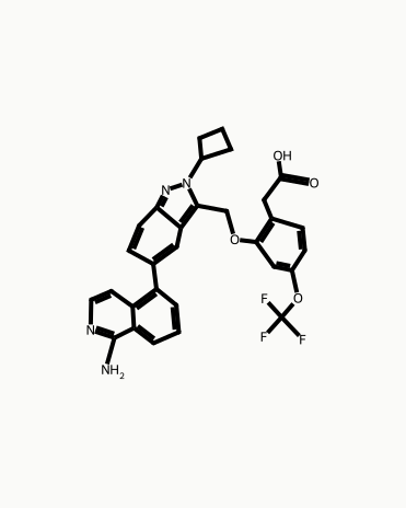 Nc1nccc2c(-c3ccc4nn(C5CCC5)c(COc5cc(OC(F)(F)F)ccc5CC(=O)O)c4c3)cccc12